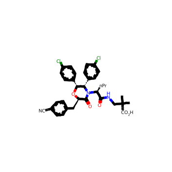 CCC[C@@H](C(=O)NCC(C)(C)C(=O)O)N1C(=O)[C@@H](Cc2ccc(C#N)cc2)O[C@H](c2ccc(Cl)cc2)[C@@H]1c1ccc(Cl)cc1